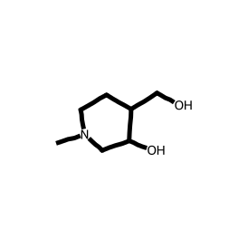 CN1CCC(CO)C(O)C1